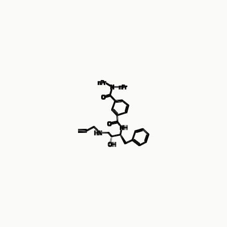 C#CCNC[C@@H](O)[C@H](Cc1ccccc1)NC(=O)c1cccc(C(=O)N(CCC)CCC)c1